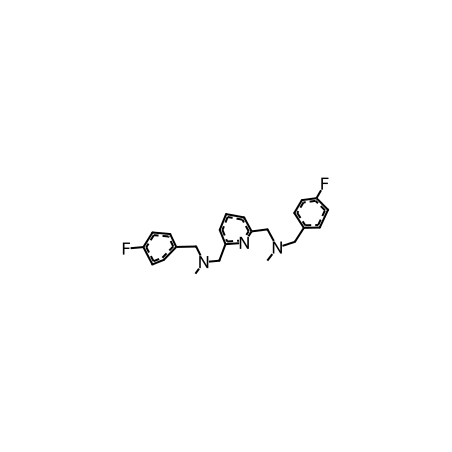 CN(Cc1ccc(F)cc1)Cc1cccc(CN(C)Cc2ccc(F)cc2)n1